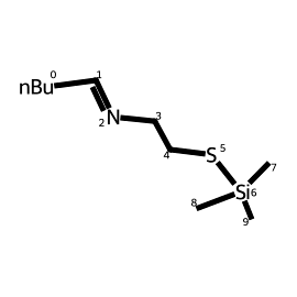 CCCCC=NCCS[Si](C)(C)C